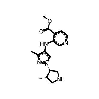 COC(=O)c1ccncc1Nc1cn([C@@H]2CNC[C@@H]2C)nc1C